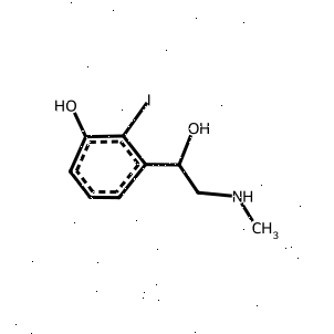 CNCC(O)c1cccc(O)c1I